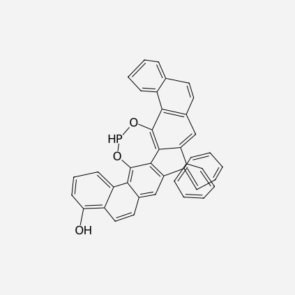 Oc1cccc2c1ccc1cc(-c3ccccc3)c3c(o[pH]oc4c3c(-c3ccccc3)cc3ccc5ccccc5c34)c12